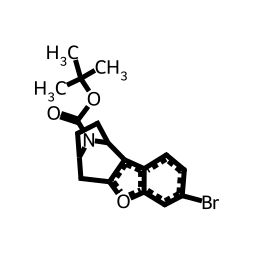 CC(C)(C)OC(=O)N1C2CCC1c1c(oc3cc(Br)ccc13)C2